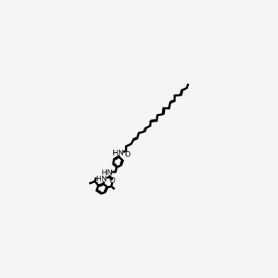 CCC=CCC=CCC=CCC=CCC=CCC=CCCC(=O)Nc1ccc(CNC(=O)Nc2c(C(C)C)cccc2C(C)C)cc1